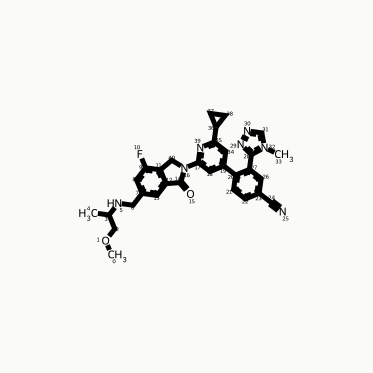 COCC(C)NCc1cc(F)c2c(c1)C(=O)N(c1cc(-c3ccc(C#N)cc3-c3nncn3C)cc(C3CC3)n1)C2